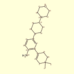 CC1(C)CC=C(c2cc(C3CCC(N4CCOCC4)CC3)ccc2N)CC1